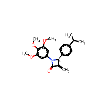 C=C1C(=O)N(c2cc(OC)c(OC)c(OC)c2)[C@H]1c1ccc(C(C)C)cc1